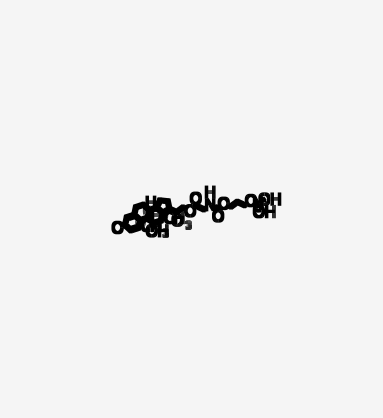 C[C@]12C[C@H](O)C3(F)[C@@H](CCC4=CC(=O)C=C[C@@]43C)C1CCC2C(=O)COC(=O)CNC(=O)OCCCON(O)O